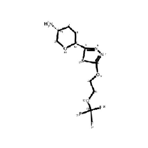 N[C@@H]1CC[C@@H](c2nnc(OCCOC(F)(F)F)s2)OC1